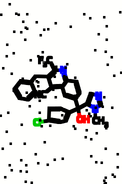 Cn1cncc1C(O)(c1ccc(Cl)cc1)c1ccc2nc(C(F)(F)F)c(Cc3ccccc3)c(C#N)c2c1